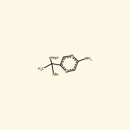 CCCCCCCC(C)(CCCC)c1cnc(N)cn1